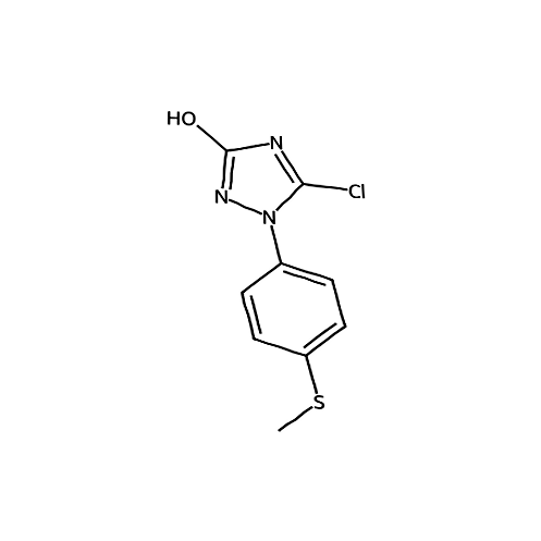 CSc1ccc(-n2nc(O)nc2Cl)cc1